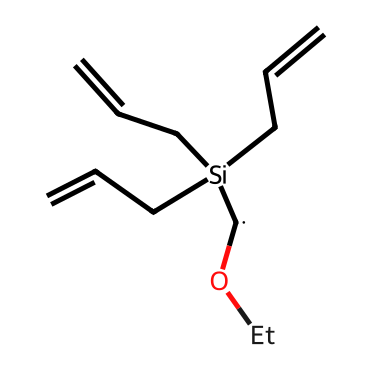 C=CC[Si]([CH]OCC)(CC=C)CC=C